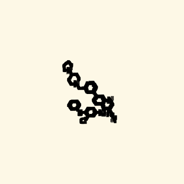 N#Cc1cnc2cc(-c3cccc(CN4CCC(N5CCCC5)CC4)c3)ccc2c1Nc1ccc(Sc2ccccc2)c(Cl)c1